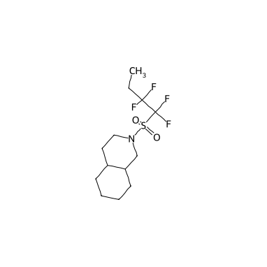 CCC(F)(F)C(F)(F)S(=O)(=O)N1CCC2CCCCC2C1